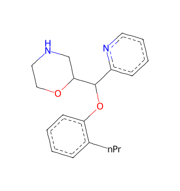 CCCc1ccccc1OC(c1ccccn1)C1CNCCO1